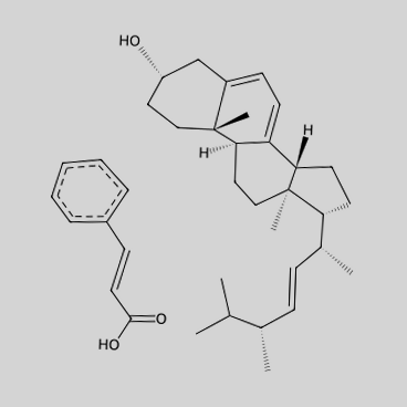 CC(C)[C@@H](C)C=C[C@@H](C)[C@H]1CC[C@H]2C3=CC=C4C[C@@H](O)CC[C@@]4(C)[C@@H]3CC[C@]12C.O=C(O)C=Cc1ccccc1